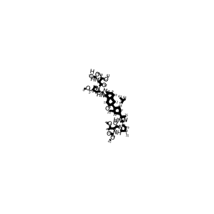 COC[C@H]1C[C@@H](c2nc3ccc4cc5c(cc4c3[nH]2)OCc2cc(-c3cnc([C@@H]4C[C@H](C)CN4C(=O)[C@@H](NC(=O)OC)C(C)OC)[nH]3)ccc2-5)N(C(=O)[C@@H](NC(=O)O)[C@@H](C)OC)C1.C[C](C)C